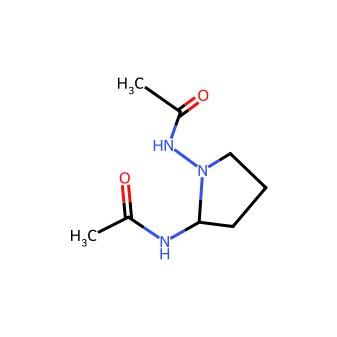 CC(=O)NC1CCCN1NC(C)=O